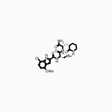 COc1ccc(Cl)c2[nH]c(C(=O)N[C@@H](CC(C)(C)C)C(=O)N[C@@H](C[C@@H]3CCCNC3=O)C(N)=O)cc12